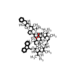 CCC(C)C(C(CC(=O)N1CCC[C@H]1C(OC)C(C)C(=O)NC(Cc1ccccc1)C(=O)O)OC)N(C)C(=O)C(NC(=O)C(C(C)C)N(C)CCSCNC(=O)C(C)NC(=O)C(NC(=O)OCC1c2ccccc2-c2ccccc21)C(C)C)C(C)C